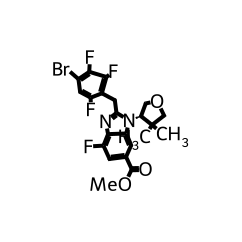 COC(=O)c1cc(F)c2nc(Cc3c(F)cc(Br)c(F)c3F)n([C@@H]3COCC3(C)C)c2c1